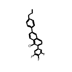 CCCc1ccc(-c2ccc3c(Cl)c(-c4cc(F)c(F)c(F)c4)ccc3c2)cc1